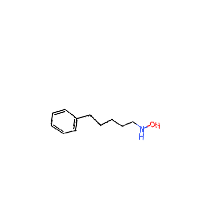 ONCCCCCc1ccccc1